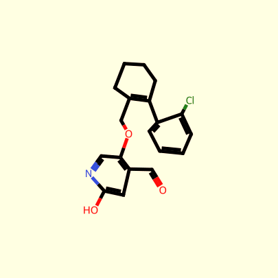 O=Cc1cc(O)ncc1OCC1=C(c2ccccc2Cl)CCCC1